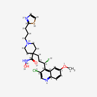 COc1ccc2ncc(Cl)c([C@H](F)CCC3(C(=O)NO)CCN(CCCc4nccs4)CC3)c2c1